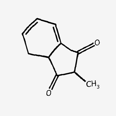 CC1C(=O)C2=CC=CCC2C1=O